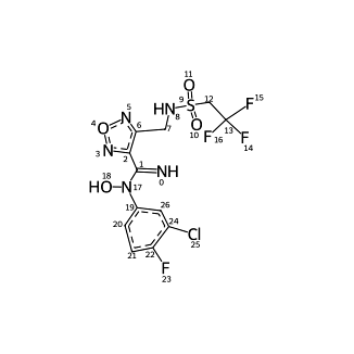 N=C(c1nonc1CNS(=O)(=O)CC(F)(F)F)N(O)c1ccc(F)c(Cl)c1